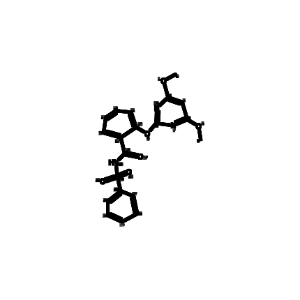 COc1cc(OC)nc(Oc2ccccc2C(=O)NS(=O)(=O)c2ccccc2)n1